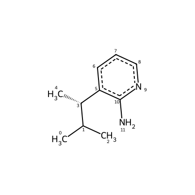 CC(C)[C@H](C)c1cccnc1N